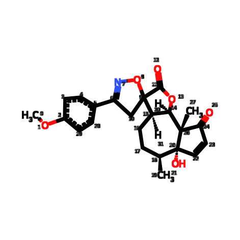 COc1ccc(C2=NOC3(C2)C(=O)O[C@@H]2[C@H]3CC[C@H](C)[C@]3(O)C=CC(=O)[C@@]23C)cc1